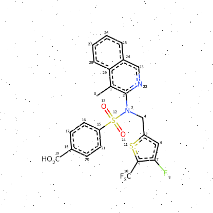 Cc1c(N(Cc2cc(F)c(C(F)(F)F)s2)S(=O)(=O)c2ccc(C(=O)O)cc2)ncc2ccccc12